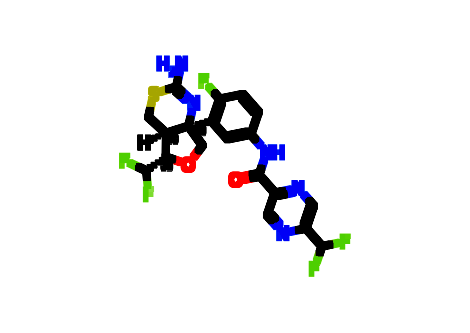 NC1=N[C@@]2(c3cc(NC(=O)c4cnc(C(F)F)cn4)ccc3F)CO[C@H](C(F)F)[C@H]2CS1